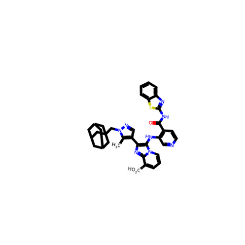 Cc1c(-c2nc3c(C(=O)O)cccn3c2Nc2cnccc2C(=O)Nc2nc3ccccc3s2)cnn1CC12CC3CC(CC(C3)C1)C2